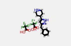 O=C(O)C(F)(F)F.O=C(O)C(F)(F)F.c1ccc(Cc2cc(C3CCNCC3)[nH]n2)cc1